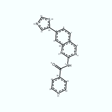 O=C(Nc1ncc2ccc(-c3cncs3)cc2n1)c1ccncc1